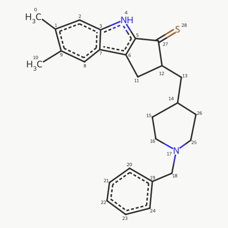 Cc1cc2[nH]c3c(c2cc1C)CC(CC1CCN(Cc2ccccc2)CC1)C3=S